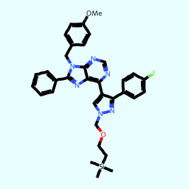 COc1ccc(Cn2c(-c3ccccc3)nc3c(-c4cn(COCC[Si](C)(C)C)nc4-c4ccc(F)cc4)ncnc32)cc1